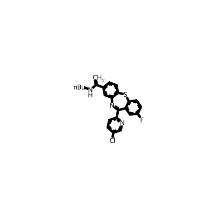 C=C(NCCCC)c1ccc2c(c1)N=C(c1ccc(Cl)cn1)c1cc(F)ccc1S2